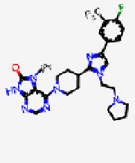 CC(C)n1c(=O)[nH]c2ncnc(N3CCC(c4nc(-c5ccc(F)c(C(F)(F)F)c5)cn4CCN4CCCC4)CC3)c21